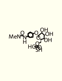 CNC(=O)Nc1ccc(O[C@H]2O[C@H](COP(=O)(O)S)[C@@H](O)[C@H](O)[C@@H]2O)cc1